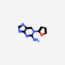 Nc1nc2ncnc-2cn1-c1ccco1